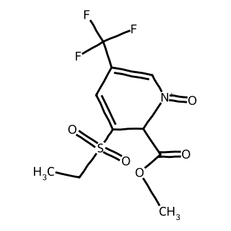 CCS(=O)(=O)C1=CC(C(F)(F)F)=C[N+](=O)C1C(=O)OC